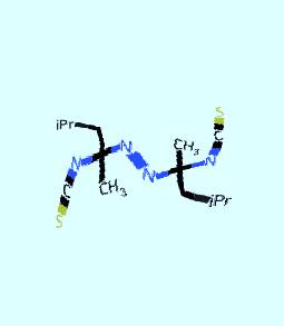 CC(C)CC(C)(N=C=S)N=NC(C)(CC(C)C)N=C=S